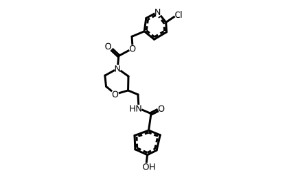 O=C(NCC1CN(C(=O)OCc2ccc(Cl)nc2)CCO1)c1ccc(O)cc1